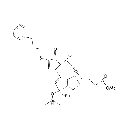 COC(=O)CCCC#CC(O)C1C(=O)C(SCCCc2ccccc2)=CC1C=CC(O[SiH](C)C)(C1CCCC1)C(C)(C)C